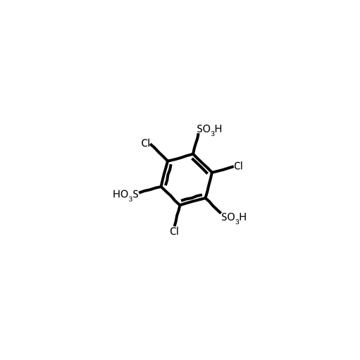 O=S(=O)(O)c1c(Cl)c(S(=O)(=O)O)c(Cl)c(S(=O)(=O)O)c1Cl